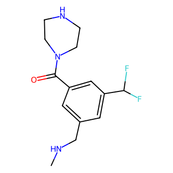 CNCc1cc(C(=O)N2CCNCC2)cc(C(F)F)c1